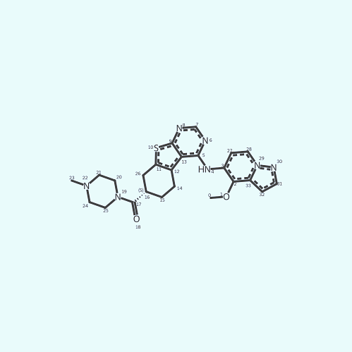 COc1c(Nc2ncnc3sc4c(c23)CC[C@H](C(=O)N2CCN(C)CC2)C4)ccn2nccc12